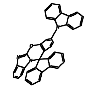 c1ccc2c(c1)-c1ccccc1C21c2ccc(-n3c4ccccc4c4ccccc43)cc2Oc2nc3ccccc3n21